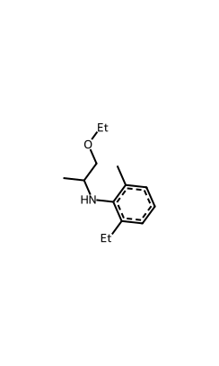 CCOCC(C)Nc1c(C)cccc1CC